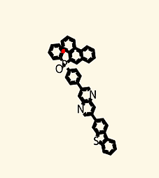 O=P(c1ccccc1)(c1ccc(-c2cnc3cc(-c4ccc5c(c4)sc4ccccc45)cnc3c2)cc1)c1cc2ccccc2c2ccccc12